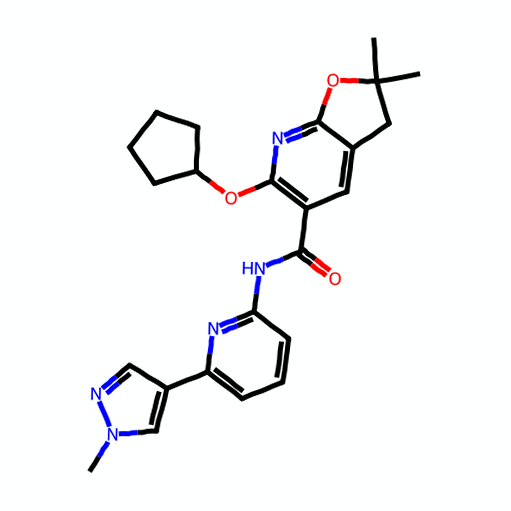 Cn1cc(-c2cccc(NC(=O)c3cc4c(nc3OC3CCCC3)OC(C)(C)C4)n2)cn1